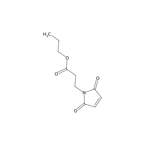 CCCOC(=O)CCN1C(=O)C=CC1=O